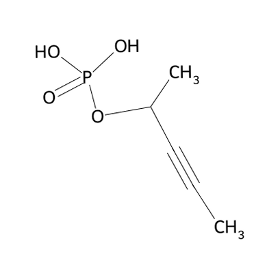 CC#CC(C)OP(=O)(O)O